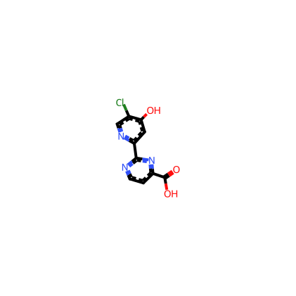 O=C(O)c1ccnc(-c2cc(O)c(Cl)cn2)n1